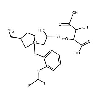 CC(C)C[N+]1(Cc2ccccc2OC(F)F)CC[C@H](CN)C1.O=C(O)C(O)C(O)C(=O)O